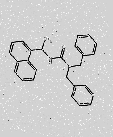 CC(NC(=O)N(Cc1ccccc1)Cc1ccccc1)c1cccc2ccccc12